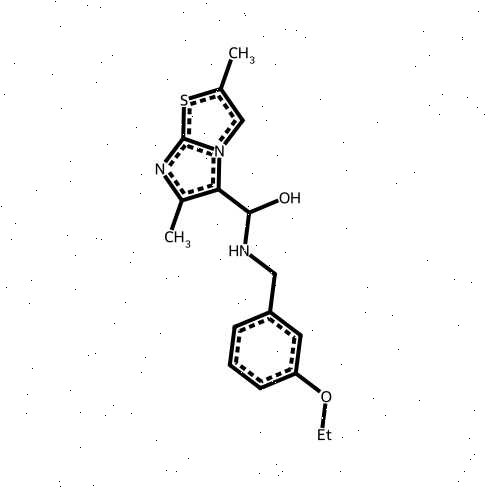 CCOc1cccc(CNC(O)c2c(C)nc3sc(C)cn23)c1